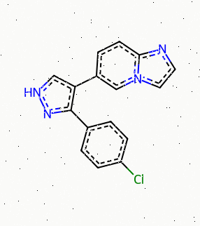 Clc1ccc(-c2n[nH]cc2-c2ccc3nccn3c2)cc1